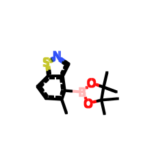 Cc1ccc2sncc2c1B1OC(C)(C)C(C)(C)O1